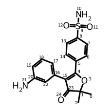 CC1(C)OC(c2ccc(S(N)(=O)=O)cc2)=C(c2cccc(N)c2)C1=O